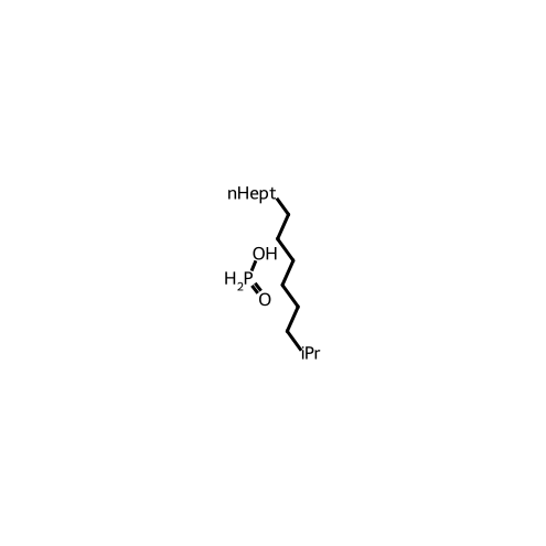 CCCCCCCCCCCCCC(C)C.O=[PH2]O